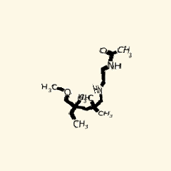 CCC(C)(COC)CC(C)(C)CNCCNC(C)=O